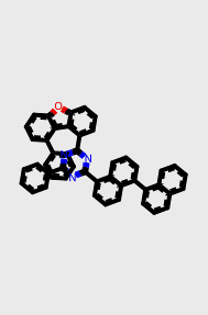 c1ccc(-c2nc(-c3cccc4c(-c5cccc6ccccc56)cccc34)nc(-c3cccc4oc5cccc(-c6ccccc6)c5c34)n2)cc1